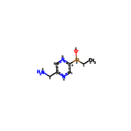 CC[S+]([O-])c1cnc(CN)cn1